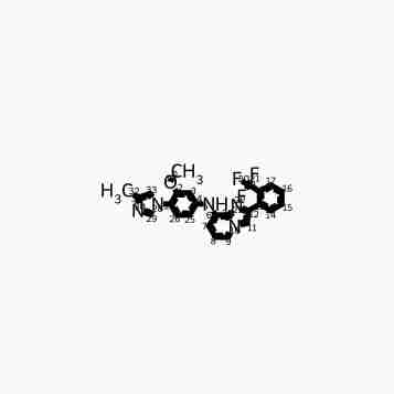 COc1cc(Nc2cccn3cc(-c4ccccc4C(F)(F)F)nc23)ccc1-n1cnc(C)c1